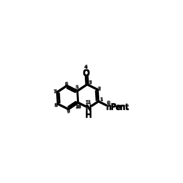 CCCCCc1cc(=O)c2ccccc2[nH]1